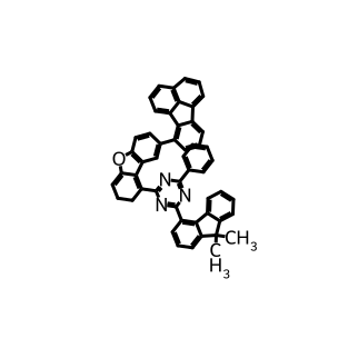 CC1(C)c2ccccc2-c2c(-c3nc(C4=c5c(oc6ccc(-c7cccc8c7-c7cccc9cccc-8c79)cc56)=CCC4)nc(-c4ccccc4)n3)cccc21